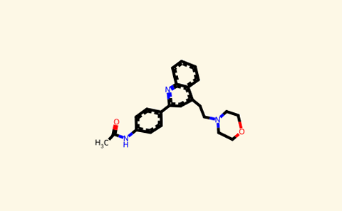 CC(=O)Nc1ccc(-c2cc(CCN3CCOCC3)c3ccccc3n2)cc1